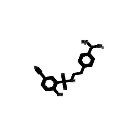 CN(C)c1ccc(CCNS(=O)(=O)c2cc(C#N)ccc2O)cc1